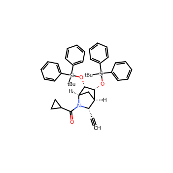 C#C[C@H]1[C@H]2C[C@H]([C@H](O[Si](c3ccccc3)(c3ccccc3)C(C)(C)C)[C@@H]2O[Si](c2ccccc2)(c2ccccc2)C(C)(C)C)N1C(=O)C1CC1